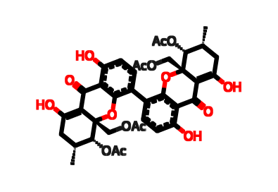 CC(=O)OC[C@]12Oc3c(-c4ccc(O)c5c4O[C@@]4(COC(C)=O)C(=C(O)C[C@@H](C)[C@H]4OC(C)=O)C5=O)ccc(O)c3C(=O)C1=C(O)C[C@@H](C)[C@H]2OC(C)=O